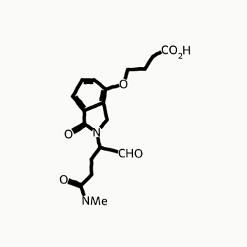 CNC(=O)CCC(C=O)N1Cc2c(OCCCC(=O)O)cccc2C1=O